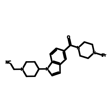 CC(C)N1CCN(C(=O)c2ccc3c(ccn3C3CCN(CC#N)CC3)c2)CC1